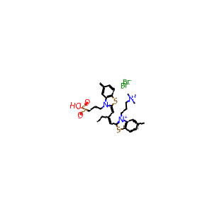 CCC(=Cc1sc2ccc(C)cc2[n+]1CCC[N+](C)(C)C)C=C1Sc2ccc(C)cc2N1CCCS(=O)(=O)O.[Br-].[Br-]